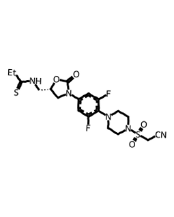 CCC(=S)NC[C@H]1CN(c2cc(F)c(N3CCN(S(=O)(=O)CC#N)CC3)c(F)c2)C(=O)O1